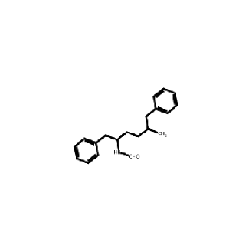 CC(CCC(Cc1ccccc1)NC=O)Cc1ccccc1